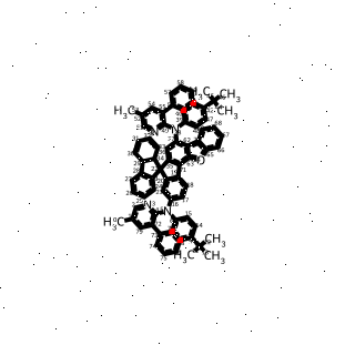 Cc1cnc(N(c2ccc(C(C)(C)C)cc2)c2ccc3c(c2)C2(c4ccccc4C4C=CC=CC42)c2cc(N(c4ccc(C(C)(C)C)cc4)c4ncc(C)cc4-c4ccccc4)c4c(oc5ccccc54)c2-3)c(-c2ccccc2)c1